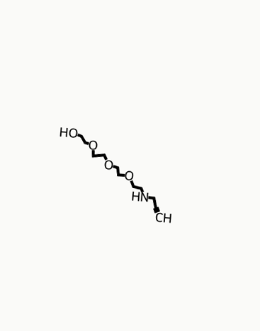 C#CCNCCOCCOCCOCCO